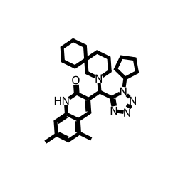 Cc1cc(C)c2cc(C(c3nnnn3C3CCCC3)N3CCCC4(CCCCC4)C3)c(=O)[nH]c2c1